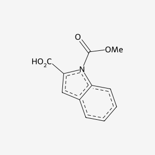 COC(=O)n1c(C(=O)O)cc2ccccc21